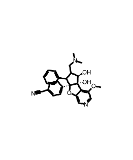 COc1cncc2c1[C@]1(O)[C@H](O)C(CN(C)C)C(c3ccccc3)[C@]1(c1ccc(C#N)cc1)O2